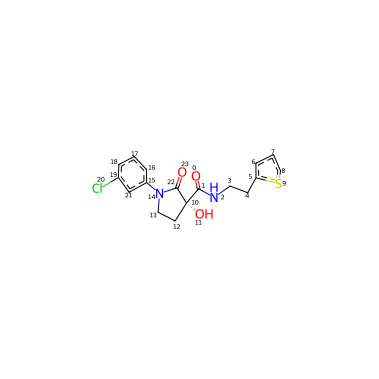 O=C(NCCc1cccs1)[C@@]1(O)CCN(c2cccc(Cl)c2)C1=O